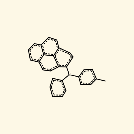 Cc1ccc(N(c2ccccc2)c2ccc3ccc4cccc5ccc2c3c45)cc1